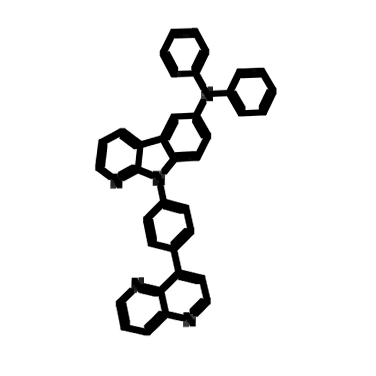 c1ccc(N(c2ccccc2)c2ccc3c(c2)c2cccnc2n3-c2ccc(-c3ccnc4cccnc34)cc2)cc1